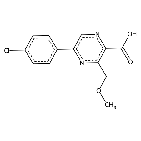 COCc1nc(-c2ccc(Cl)cc2)cnc1C(=O)O